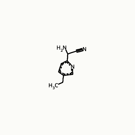 CCc1ccc(C(N)C#N)nc1